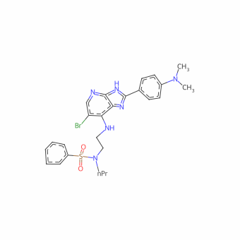 CCCN(CCNc1c(Br)cnc2[nH]c(-c3ccc(N(C)C)cc3)nc12)S(=O)(=O)c1ccccc1